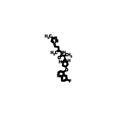 C=C(CCn1cc(C)nn1)NC(=O)C(C)[C@H]1[C@@H]2C[C@@H](Oc3ccnc4ccc(F)cc34)C[C@@H]21